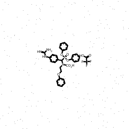 N=C(N)Nc1ccc(C(N(CCOc2ccccc2)C(=O)O)P(=O)(Oc2ccccc2)Oc2ccccc2)cc1.O=C(O)C(F)(F)F